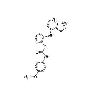 COc1ccc(NC(=O)Oc2sccc2Nc2ccnc3[nH]ccc23)cc1